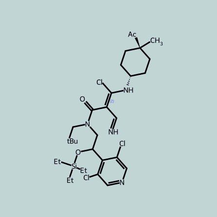 CC[Si](CC)(CC)OC(CN(CC(C)(C)C)C(=O)/C(C=N)=C(\Cl)N[C@H]1CC[C@](C)(C(C)=O)CC1)c1c(Cl)cncc1Cl